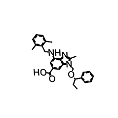 CCC(OCn1c(C)nc2c(NCc3c(C)cccc3C)cc(C(=O)O)cc21)c1ccccc1